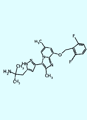 Cc1cc(OCc2c(F)cccc2F)c2nc(C)c(-c3cc(CC(C)(C)N)[nH]n3)n2c1